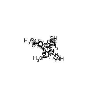 CC#CCn1c(N2CCNCC2)nc2c1c(=O)n(Cc1cccc(C(=O)OC)c1)c(=O)n2C.O=C(O)C(F)(F)F